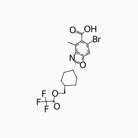 Cc1c(C(=O)O)c(Br)cc2oc([C@H]3CC[C@H](COC(=O)C(F)(F)F)CC3)nc12